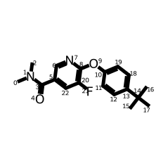 CN(C)C(=O)c1cnc(Oc2ccc(C(C)(C)C)cc2)c(F)c1